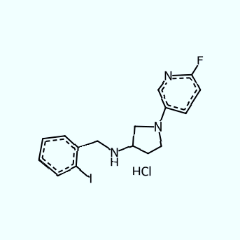 Cl.Fc1ccc(N2CCC(NCc3ccccc3I)C2)cn1